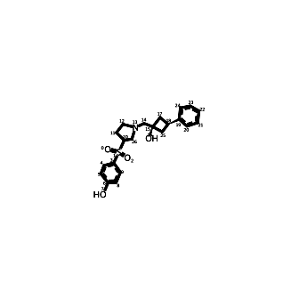 O=S(=O)(c1ccc(O)cc1)C1CCN(C[C@]2(O)C[C@@H](c3ccccc3)C2)C1